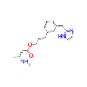 CC(N)=CC(=O)OCC=Cc1cccc(Cc2ncc[nH]2)c1